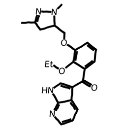 CCOc1c(OCC2CC(C)=NN2C)cccc1C(=O)c1c[nH]c2ncccc12